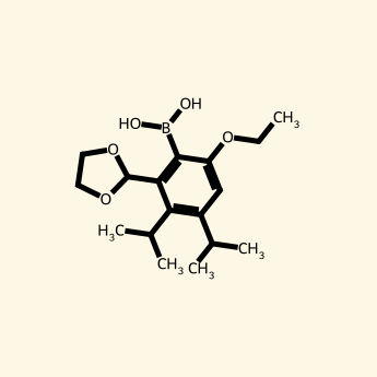 CCOc1cc(C(C)C)c(C(C)C)c(C2OCCO2)c1B(O)O